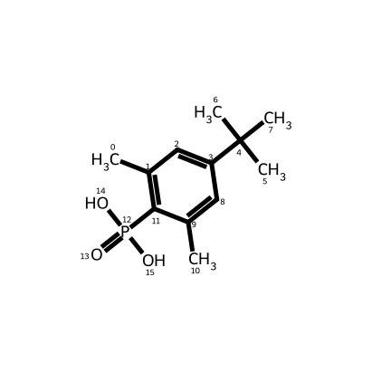 Cc1cc(C(C)(C)C)cc(C)c1P(=O)(O)O